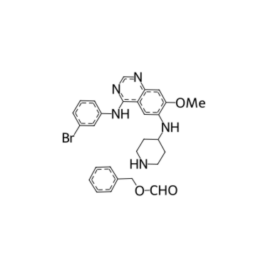 COc1cc2ncnc(Nc3cccc(Br)c3)c2cc1NC1CCNCC1.O=COCc1ccccc1